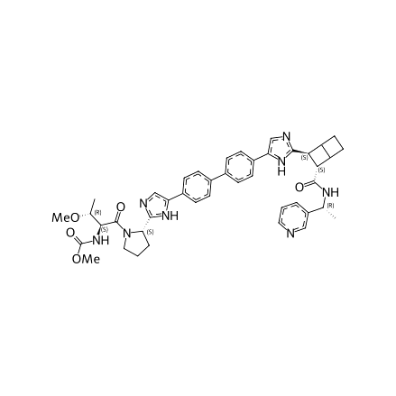 COC(=O)N[C@H](C(=O)N1CCC[C@H]1c1ncc(-c2ccc(-c3ccc(-c4cnc([C@H]5C6CCC6[C@@H]5C(=O)N[C@H](C)c5cccnc5)[nH]4)cc3)cc2)[nH]1)[C@@H](C)OC